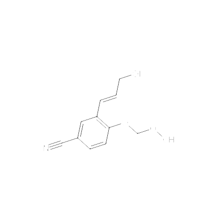 COCOc1ccc(C#N)cc1/C=C/CO